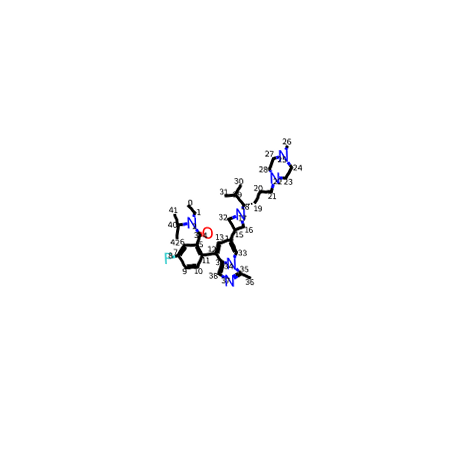 CCN(C(=O)c1cc(F)ccc1-c1cc(C2CN([C@@H](CCCN3CCN(C)CC3)C(C)C)C2)cn2c(C)ncc12)C(C)C